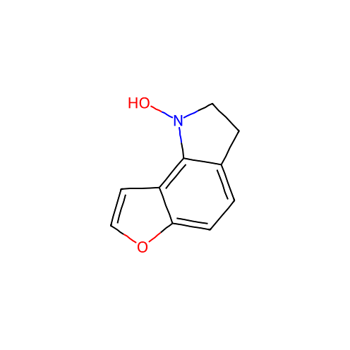 ON1CCc2ccc3occc3c21